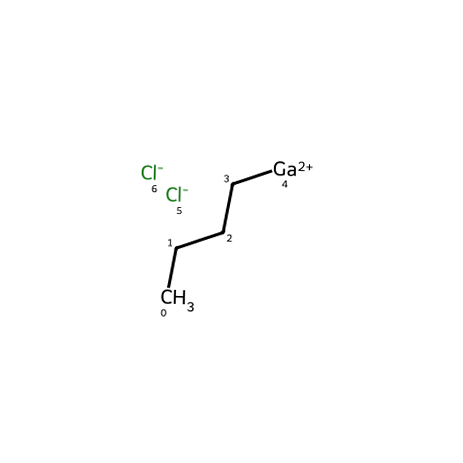 CCC[CH2][Ga+2].[Cl-].[Cl-]